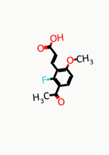 COc1ccc(C(C)=O)c(F)c1C=CC(=O)O